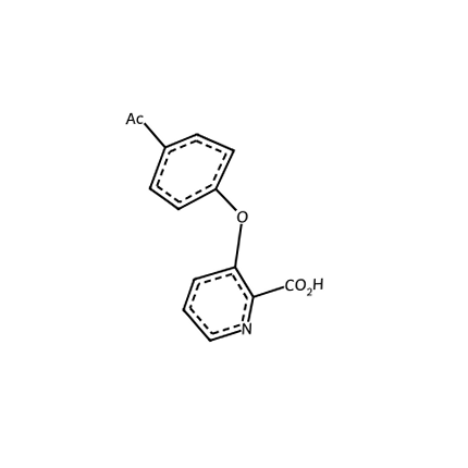 CC(=O)c1ccc(Oc2cccnc2C(=O)O)cc1